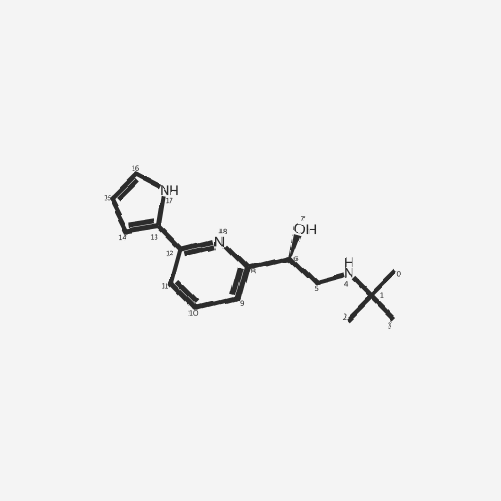 CC(C)(C)NC[C@H](O)c1cccc(-c2ccc[nH]2)n1